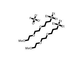 CC[N+](CC)(CC)CCCOCCOCCOC.CC[N+](CC)(CC)CCCOCCOCCOC.O=P([O-])([O-])F